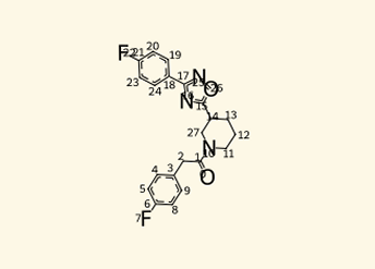 O=C(Cc1ccc(F)cc1)N1CCCC(c2nc(-c3ccc(F)cc3)no2)C1